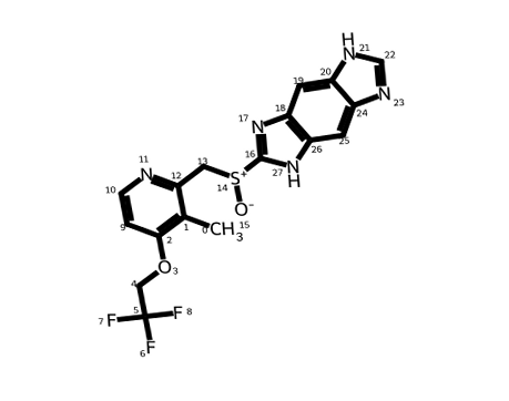 Cc1c(OCC(F)(F)F)ccnc1C[S+]([O-])c1nc2cc3[nH]cnc3cc2[nH]1